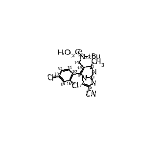 Cc1nc2nc(C#N)cn2c(-c2ccc(Cl)cc2Cl)c1CN(C(=O)O)C(C)(C)C